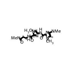 CNC(=O)CCNC(=O)c1nc(NC(=O)c2nc(NC)cn2C)cn1C